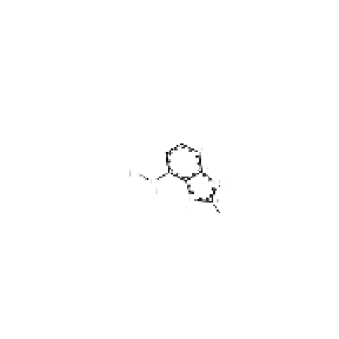 ONc1cccc2[nH]c(Cl)nc12